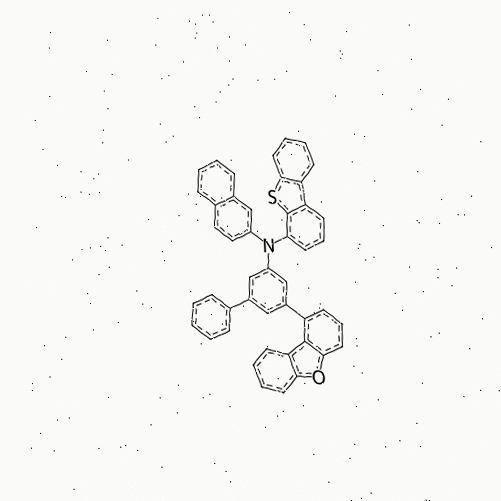 c1ccc(-c2cc(-c3cccc4oc5ccccc5c34)cc(N(c3ccc4ccccc4c3)c3cccc4c3sc3ccccc34)c2)cc1